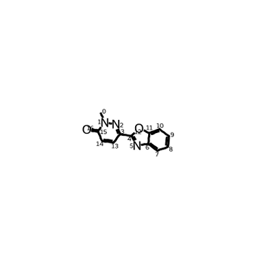 Cn1nc(-c2nc3ccccc3o2)ccc1=O